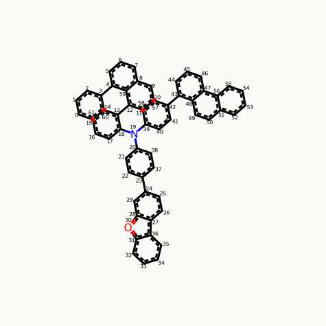 c1ccc(-c2cccc3cccc(-c4ccccc4N(c4ccc(-c5ccc6c(c5)oc5ccccc56)cc4)c4ccc(-c5cccc6c5ccc5ccccc56)cc4)c23)cc1